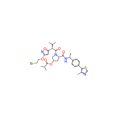 Cc1ncsc1-c1ccc([C@H](C)NC(=O)C2C[C@@H](OC(=O)C(C)C)CN2C(=O)[C@@H](c2cc(OCCBr)no2)C(C)C)cc1